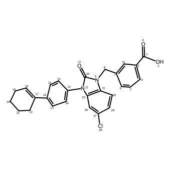 O=C(O)c1cccc(Cn2c(=O)n(-c3ccc(C4=CCCCC4)cc3)c3cc(Cl)ccc32)c1